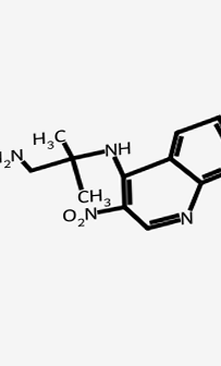 CC(C)(CN)Nc1c([N+](=O)[O-])cnc2ccccc12